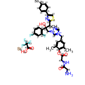 Cc1cc(C[n+]2cnn(C[C@](O)(c3ccc(F)cc3F)[C@@H](C)c3nc(-c4ccc(C#N)cc4)cs3)c2)cc(C)c1OC(=O)CNC(=O)CN.O=C(O)C(F)(F)F.[Br-]